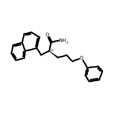 NC(=O)[C@@H](CCCOc1ccccc1)Cc1cccc2ccccc12